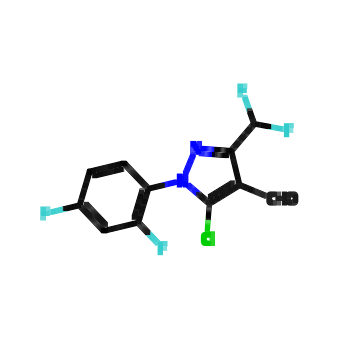 O=Cc1c(C(F)F)nn(-c2ccc(F)cc2F)c1Cl